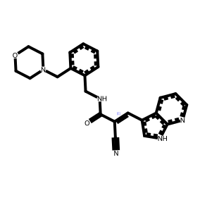 N#C/C(=C\c1c[nH]c2ncccc12)C(=O)NCc1ccccc1CN1CCOCC1